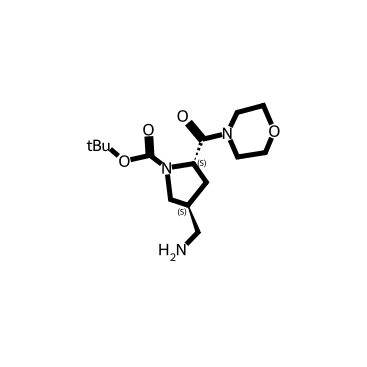 CC(C)(C)OC(=O)N1C[C@H](CN)C[C@H]1C(=O)N1CCOCC1